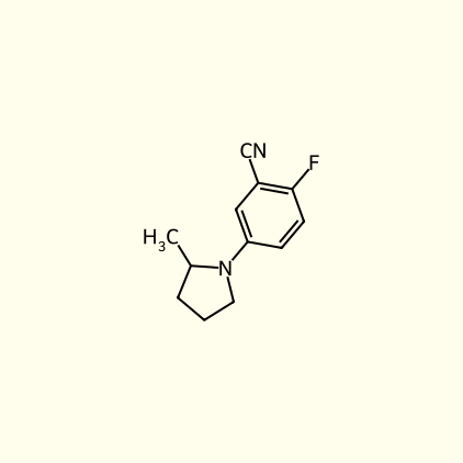 CC1CCCN1c1ccc(F)c(C#N)c1